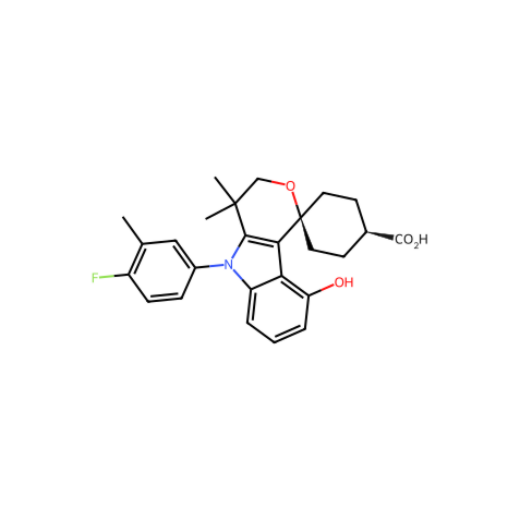 Cc1cc(-n2c3c(c4c(O)cccc42)[C@]2(CC[C@H](C(=O)O)CC2)OCC3(C)C)ccc1F